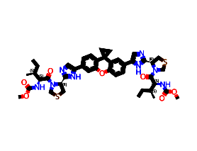 CC[C@H](C)[C@H](NC(=O)OC)C(=O)N1CSC[C@H]1c1ncc(-c2ccc3c(c2)Oc2ccc(-c4cnc([C@@H]5CSCN5C(=O)[C@@H](NC(=O)OC)[C@@H](C)CC)[nH]4)cc2C32CC2)[nH]1